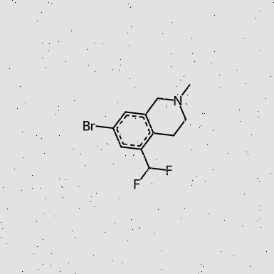 CN1CCc2c(cc(Br)cc2C(F)F)C1